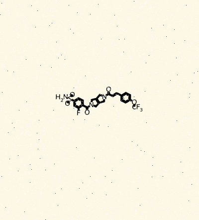 NS(=O)(=O)c1ccc(C(=O)N2CC3=C(CN(C(=O)C=Cc4ccc(OC(F)(F)F)cc4)C3)C2)c(F)c1